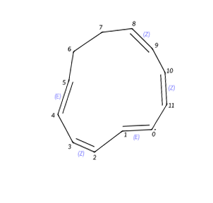 [C]1=C/C=C\C=C\CC/C=C\C=C/1